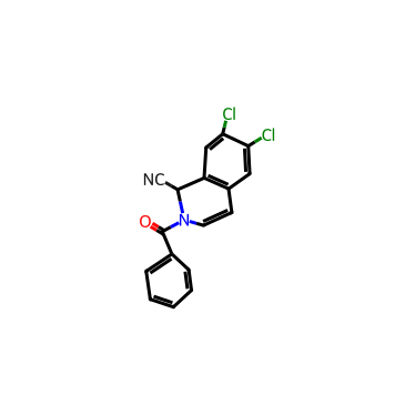 N#CC1c2cc(Cl)c(Cl)cc2C=CN1C(=O)c1ccccc1